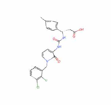 Cc1ccc([C@H](CC(=O)O)NC(=O)Nc2cccn(Cc3cccc(Cl)c3Cl)c2=O)cc1